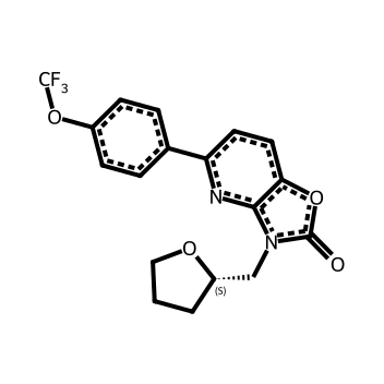 O=c1oc2ccc(-c3ccc(OC(F)(F)F)cc3)nc2n1C[C@@H]1CCCO1